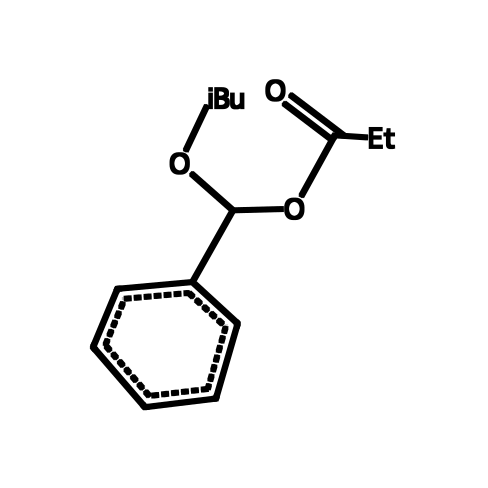 CCC(=O)OC(OC(C)CC)c1ccccc1